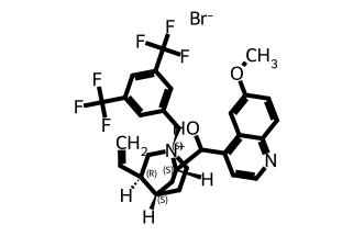 C=C[C@H]1C[N@+]2(Cc3cc(C(F)(F)F)cc(C(F)(F)F)c3)CC[C@H]1C[C@H]2C(O)c1ccnc2ccc(OC)cc12.[Br-]